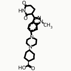 Cn1nc(C2CCC(=O)NC2=O)c2ccc(N3CCN([C@H]4CC[C@H](C(=O)O)CC4)CC3)cc21